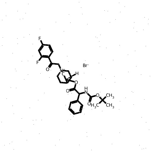 CC(C)(C)OC(=O)NC(C(=O)O[C@H]1C[N+]2(CC(=O)c3ccc(F)cc3F)CCC1CC2)c1ccccc1.[Br-]